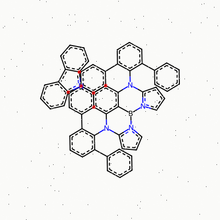 c1ccc(-c2cccc(-c3ccccc3)c2N2c3cc(-n4c5ccccc5c5ccccc54)cc4c3B(n3cccc32)n2cccc2N4c2c(-c3ccccc3)cccc2-c2ccccc2)cc1